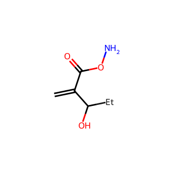 C=C(C(=O)ON)C(O)CC